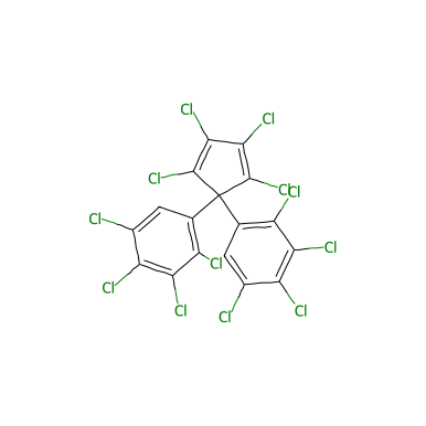 ClC1=C(Cl)C(c2cc(Cl)c(Cl)c(Cl)c2Cl)(c2cc(Cl)c(Cl)c(Cl)c2Cl)C(Cl)=C1Cl